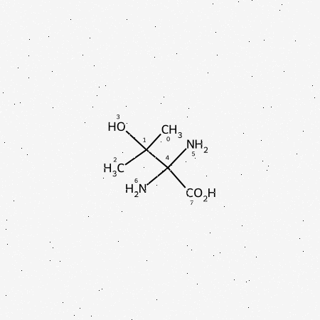 CC(C)(O)C(N)(N)C(=O)O